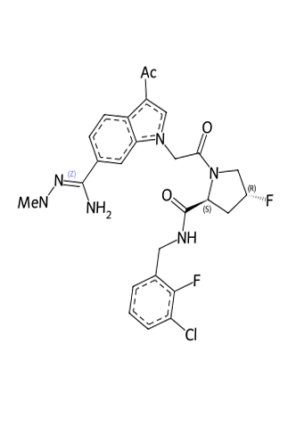 CN/N=C(\N)c1ccc2c(C(C)=O)cn(CC(=O)N3C[C@H](F)C[C@H]3C(=O)NCc3cccc(Cl)c3F)c2c1